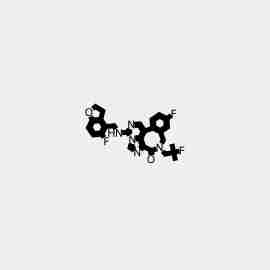 CC(C)(F)CN1Cc2cc(F)ccc2-c2cnc(NCc3c(F)ccc4c3CCO4)n3cnc(c23)C1=O